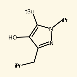 CC(C)Cc1nn(C(C)C)c(C(C)(C)C)c1O